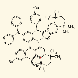 CC(C)(C)c1ccc(N2c3cc(N(c4ccccc4)c4ccccc4)cc4c3B(c3cc5c(cc3N4c3ccc(C(C)(C)C)cc3-c3ccccc3)C(C)(C)CCC5(C)C)c3oc4cc5c(cc4c32)C(C)(C)CCC5(C)C)cc1